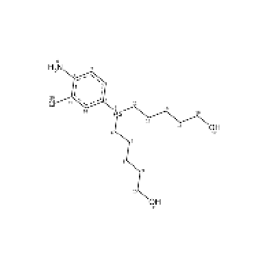 Nc1ccc([As](CCCCCO)CCCCCO)cc1Cl